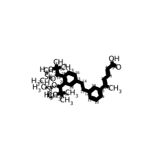 CC(=CC=CC(=O)O)c1cccc(CCc2ccc(C(O[SiH](C)C)C(C)(C)C)c(C(O[SiH](C)C)C(C)(C)C)c2)c1